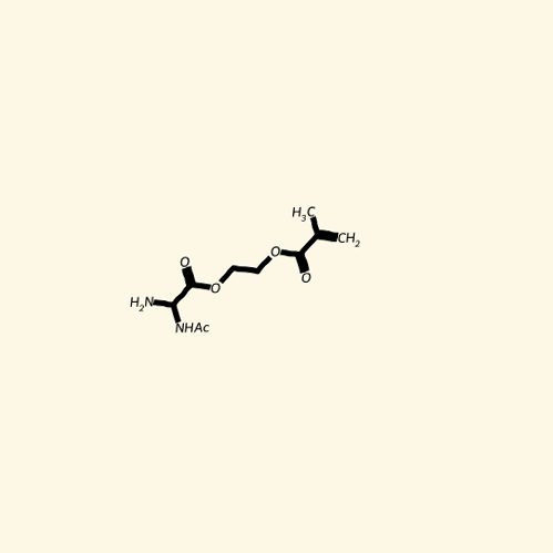 C=C(C)C(=O)OCCOC(=O)C(N)NC(C)=O